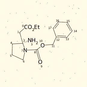 CCOC(=O)C[C@]1(N)CCCN1C(=O)OCc1ccccc1